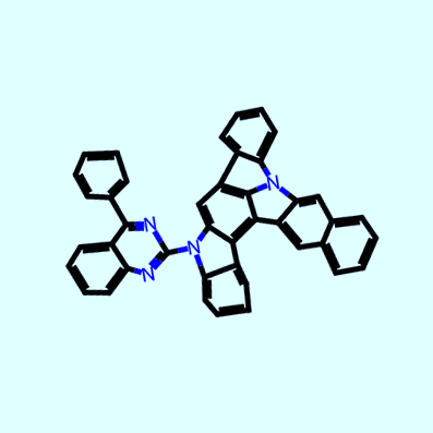 c1ccc(-c2nc(-n3c4ccccc4c4c5c6cc7ccccc7cc6n6c7ccccc7c(cc43)c56)nc3ccccc23)cc1